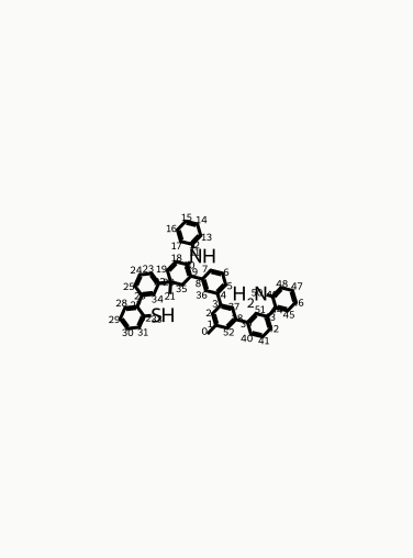 Cc1cc(-c2cccc(C3=C(Nc4ccccc4)C=CC(C)(c4cccc(-c5ccccc5S)c4)C3)c2)cc(-c2cccc(-c3ccccc3N)c2)c1